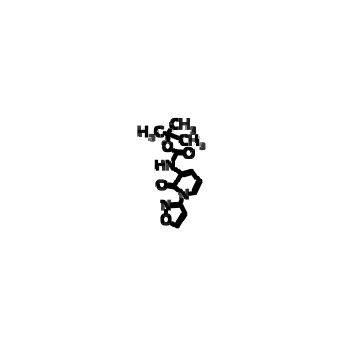 CC(C)(C)OC(=O)Nc1cccn(-c2ccon2)c1=O